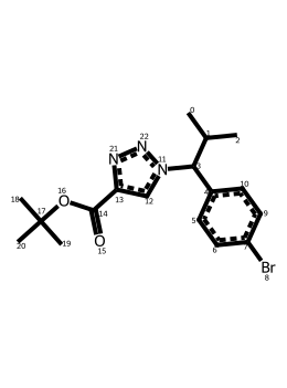 CC(C)C(c1ccc(Br)cc1)n1cc(C(=O)OC(C)(C)C)nn1